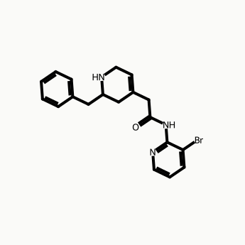 O=C(CC1=CCNC(Cc2ccccc2)C1)Nc1ncccc1Br